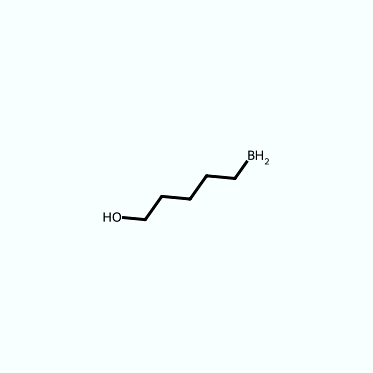 BCCCCCO